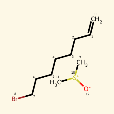 C=CCCCCCCBr.C[S+](C)[O-]